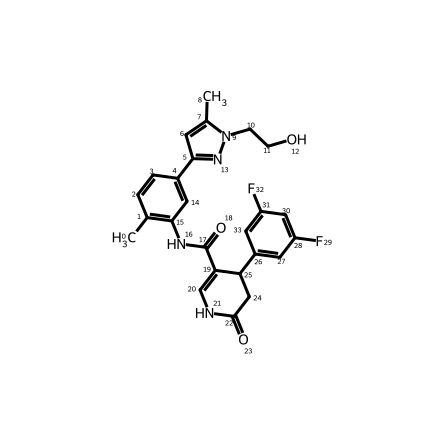 Cc1ccc(-c2cc(C)n(CCO)n2)cc1NC(=O)C1=CNC(=O)CC1c1cc(F)cc(F)c1